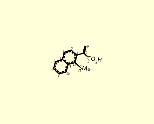 C=C(C(=O)O)c1ccc2ccccc2c1SC